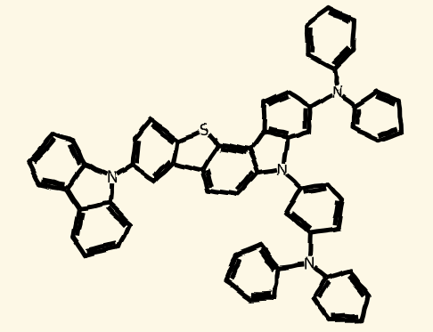 c1ccc(N(c2ccccc2)c2cccc(-n3c4cc(N(c5ccccc5)c5ccccc5)ccc4c4c5sc6ccc(-n7c8ccccc8c8ccccc87)cc6c5ccc43)c2)cc1